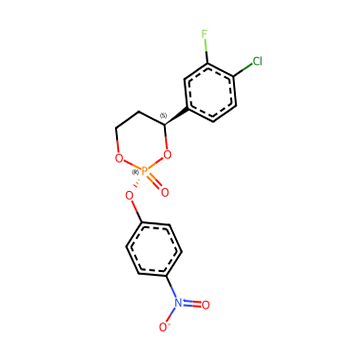 O=[N+]([O-])c1ccc(O[P@]2(=O)OCC[C@@H](c3ccc(Cl)c(F)c3)O2)cc1